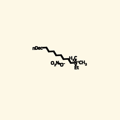 CCCCCCCCCCCCCCCCCC[N+](C)(C)CC.O=[N+]([O-])[O-]